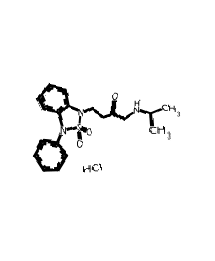 CC(C)NCC(=O)CCN1c2ccccc2N(c2ccccc2)S1(=O)=O.Cl